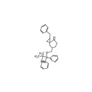 CC(C)(C)[Si](OCC1CCNC2(C1)CC2Cc1ccccc1)(c1ccccc1)c1ccccc1